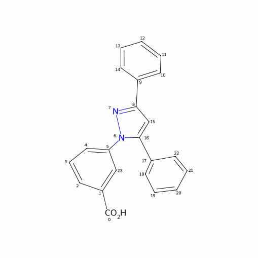 O=C(O)c1cccc(-n2nc(-c3ccccc3)cc2-c2ccccc2)c1